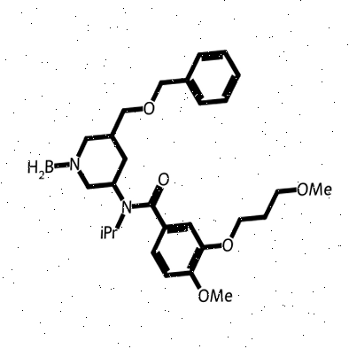 BN1CC(COCc2ccccc2)CC(N(C(=O)c2ccc(OC)c(OCCCOC)c2)C(C)C)C1